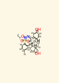 CCON(N=C1C[C@@H]2[C@H](CC[C@]3(C)[C@@H](O)CC[C@@H]23)c2ccc(O)cc21)S(=O)(=O)c1ccc(C)cc1